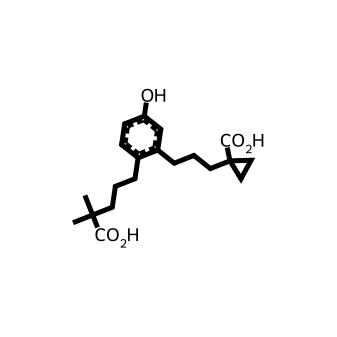 CC(C)(CCCc1ccc(O)cc1CCCC1(C(=O)O)CC1)C(=O)O